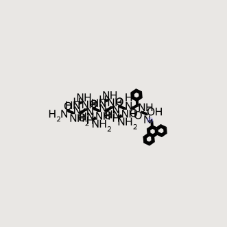 N=C(N)NC(NC(=O)C(NC(=N)N)NC(=O)C(NC(=N)N)NC(=O)C(NC(=N)N)NC(=O)C(NC(=O)C(O)/N=C/c1cc2ccccc2c2ccccc12)c1ccccc1)C(=O)NC(N)C(N)=O